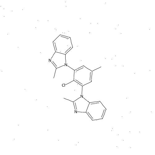 Cc1cc(-n2c(C)nc3ccccc32)c(Cl)c(-n2c(C)nc3ccccc32)c1